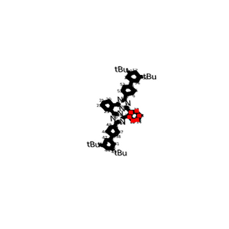 CC(C)(C)c1cc(-c2ccc(-c3nc(-c4ccccc4)nc(-c4ccccc4-c4nc(-c5ccccc5)nc(-c5ccc(-c6cc(C(C)(C)C)cc(C(C)(C)C)c6)cc5)n4)n3)cc2)cc(C(C)(C)C)c1